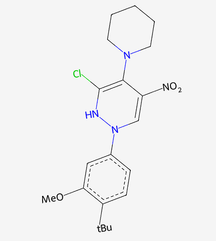 COc1cc(N2C=C([N+](=O)[O-])C(N3CCCCC3)=C(Cl)N2)ccc1C(C)(C)C